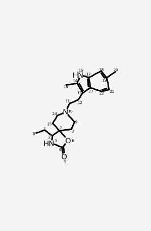 CCC1NC(=O)OC12CCN(CCc1c(C)[nH]c3cc(C)ccc13)CC2